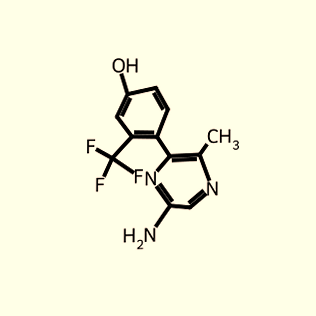 Cc1ncc(N)nc1-c1ccc(O)cc1C(F)(F)F